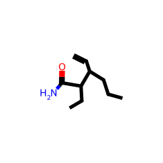 C=CC(CCC)C(CC)C(N)=O